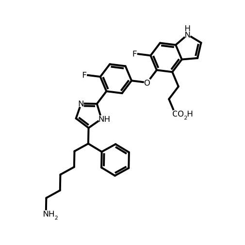 NCCCCCC(c1ccccc1)c1cnc(-c2cc(Oc3c(F)cc4[nH]ccc4c3CCC(=O)O)ccc2F)[nH]1